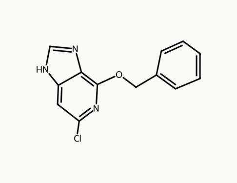 Clc1cc2[nH]cnc2c(OCc2ccccc2)n1